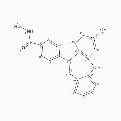 O=C(NO)c1ccc(C2=Nc3ccccc3Oc3c[n+](O)ccc32)cc1